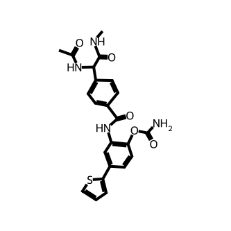 CNC(=O)C(NC(C)=O)c1ccc(C(=O)Nc2cc(-c3cccs3)ccc2OC(N)=O)cc1